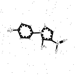 Cc1ccc(-n2ncc([N+](=O)[O-])c2C)cc1